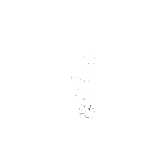 O=C(NC12CC(NC(O)COc3ccc(Cl)c(F)c3)(C1)C2)c1cnc2cccnn12